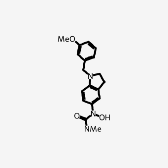 CNC(=O)N(O)c1ccc2c(c1)CCN2Cc1cccc(OC)c1